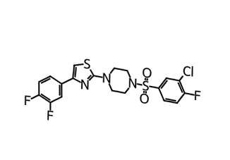 O=S(=O)(c1ccc(F)c(Cl)c1)N1CCN(c2nc(-c3ccc(F)c(F)c3)cs2)CC1